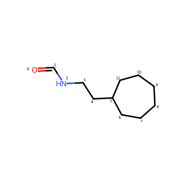 O=[C]NCCC1CCCCCC1